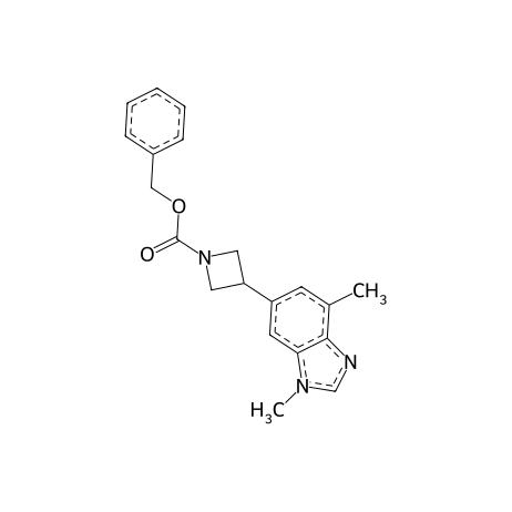 Cc1cc(C2CN(C(=O)OCc3ccccc3)C2)cc2c1ncn2C